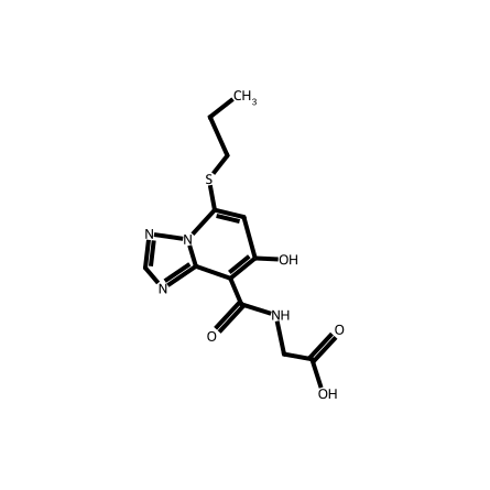 CCCSc1cc(O)c(C(=O)NCC(=O)O)c2ncnn12